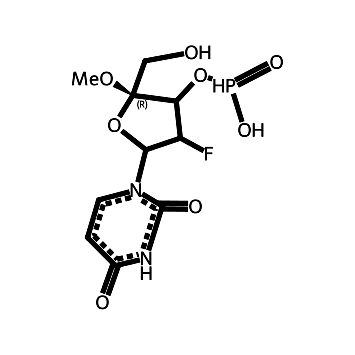 CO[C@]1(CO)OC(n2ccc(=O)[nH]c2=O)C(F)C1O[PH](=O)O